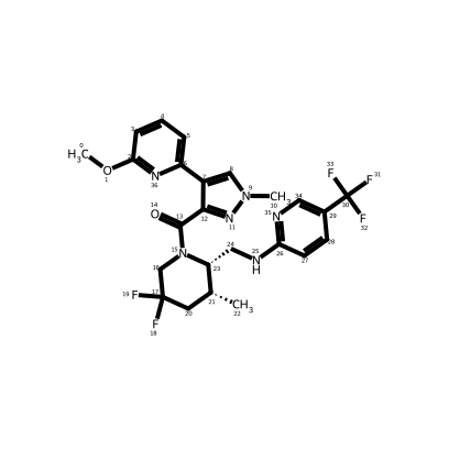 COc1cccc(-c2cn(C)nc2C(=O)N2CC(F)(F)C[C@@H](C)[C@H]2CNc2ccc(C(F)(F)F)cn2)n1